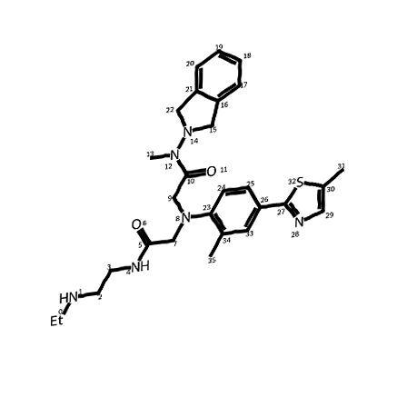 CCNCCNC(=O)CN(CC(=O)N(C)N1Cc2ccccc2C1)c1ccc(-c2ncc(C)s2)cc1C